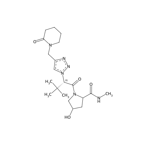 CNC(=O)C1CC(O)CN1C(=O)[C@@H](n1cc(CN2CCCCC2=O)nn1)C(C)(C)C